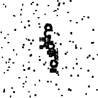 O=C(Cc1ccccc1)NC1C(=O)N2C(C(=O)O)=C(CC(=O)Oc3ccc([N+](=O)[O-])cc3)CS[C@@H]12